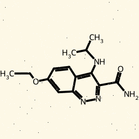 CCOc1ccc2c(NC(C)C)c(C(N)=O)nnc2c1